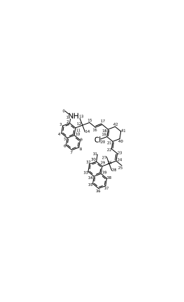 CNc1ccc2ccccc2c1C(C)(C)C/C=C/C1=C(Cl)C(=C/C=C(/C)C(C)(C)c2c(C)ccc3ccccc23)/CCC1